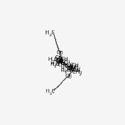 CCCCCCCCCCCCCCCCCCOC(=O)CCc1cc(C(C)(C)C)c(OP2OC(COCCOCC3CN(C(C)(C)C)P(Oc4c(C(C)(C)C)cc(CCC(=O)OCCCCCCCCCCCCCCCCCC)cc4C(C)(C)C)O3)CN2C(C)(C)C)c(C(C)(C)C)c1